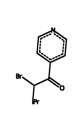 CC(C)C(Br)C(=O)c1ccncc1